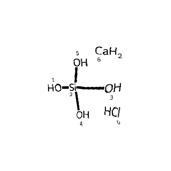 Cl.O[Si](O)(O)O.[CaH2]